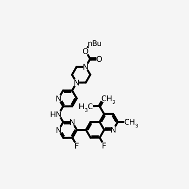 C=C(C)c1cc(C)nc2c(F)cc(-c3nc(Nc4ccc(N5CCN(C(=O)OCCCC)CC5)cn4)ncc3F)cc12